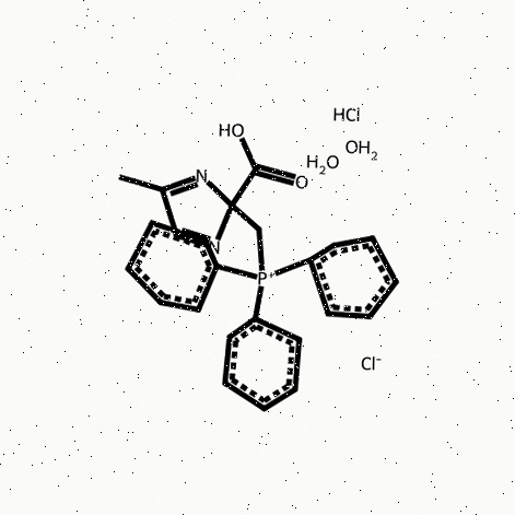 CC1=NC(C[P+](c2ccccc2)(c2ccccc2)c2ccccc2)(C(=O)O)N=C1.Cl.O.O.[Cl-]